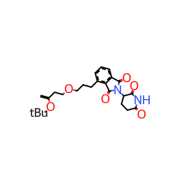 C=C(CCOCCCc1cccc2c1C(=O)N(C1CCC(=O)NC1=O)C2=O)OC(C)(C)C